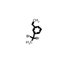 C=Cc1cccc(C(C)(Br)Br)c1